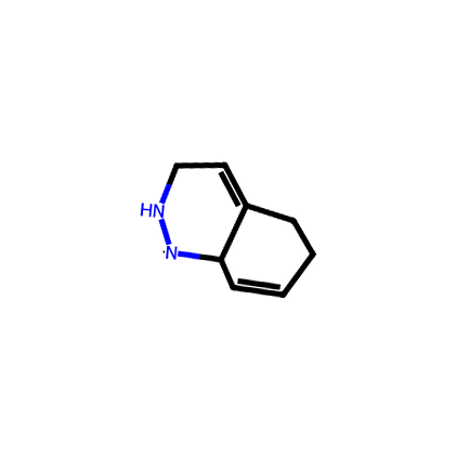 C1=CC2[N]NCC=C2CC1